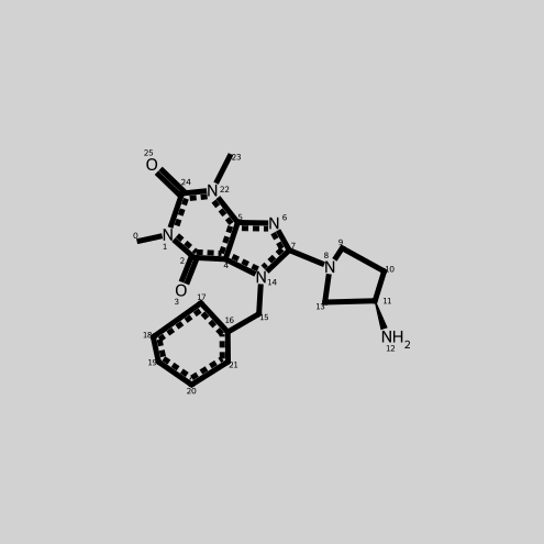 Cn1c(=O)c2c(nc(N3CC[C@@H](N)C3)n2Cc2ccccc2)n(C)c1=O